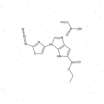 C=CC(=O)O.CCOC(=O)c1cc2c([nH]1)[SH](c1csc(N=[N+]=[N-])n1)C=N2